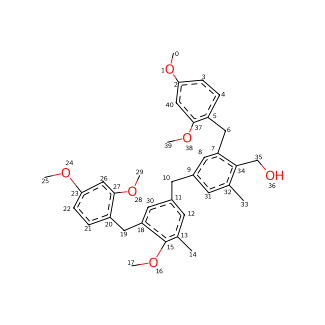 COc1ccc(Cc2cc(Cc3cc(C)c(OC)c(Cc4ccc(OC)cc4OC)c3)cc(C)c2CO)c(OC)c1